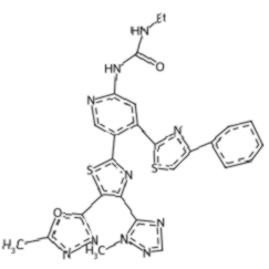 CCNC(=O)Nc1cc(-c2nc(-c3ccccc3)cs2)c(-c2nc(-c3ncnn3C)c(-c3nnc(C)o3)s2)cn1